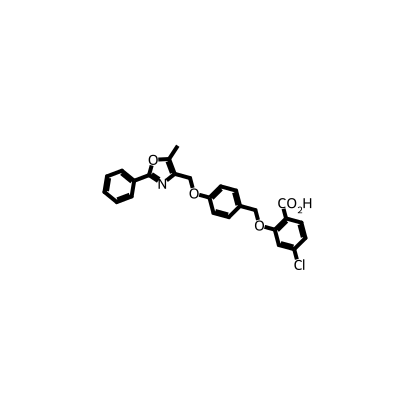 Cc1oc(-c2ccccc2)nc1COc1ccc(COc2cc(Cl)ccc2C(=O)O)cc1